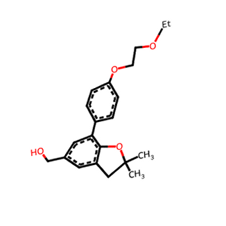 CCOCCOc1ccc(-c2cc(CO)cc3c2OC(C)(C)C3)cc1